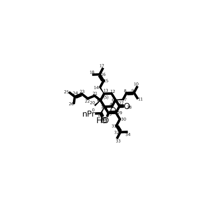 CCCC(=O)[C@]12C(=O)[C@](CC=C(C)C)(C[C@H](CC=C(C)C)[C@@]1(C)CCC=C(C)C)C(=O)C(CC=C(C)C)=C2O